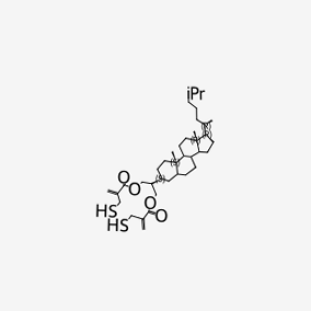 C=C(CS)C(=O)OCC(COC(=O)C(=C)CS)[C@H]1CC[C@@]2(C)C(CCC3C2CC[C@@]2(C)C3CC[C@@H]2[C@H](C)CCCC(C)C)C1